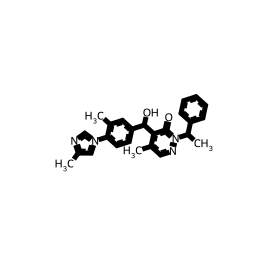 Cc1cn(-c2ccc(C(O)c3c(C)cnn(C(C)c4ccccc4)c3=O)cc2C)cn1